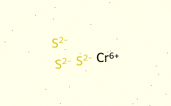 [Cr+6].[S-2].[S-2].[S-2]